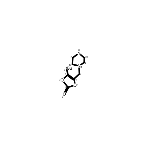 CC(C)(C)c1oc(=O)oc1CN1CC[N]CC1